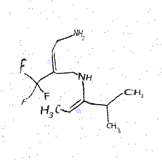 C/C=C(\N/C(=C\N)C(F)(F)F)C(C)C